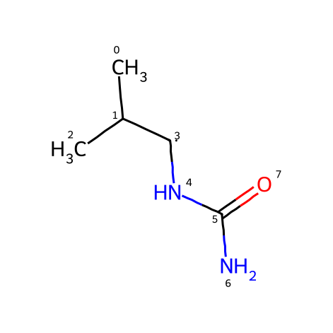 CC(C)[CH]NC(N)=O